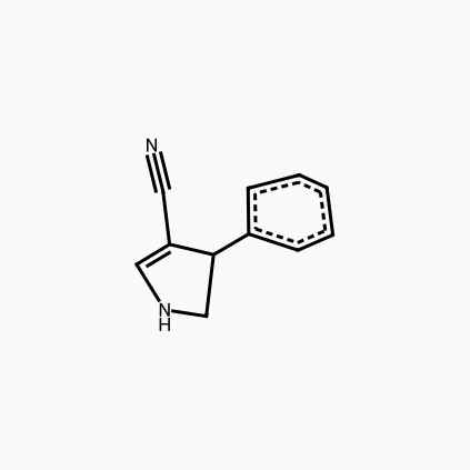 N#CC1=CNCC1c1ccccc1